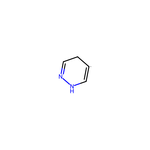 [C]1=CNN=CC1